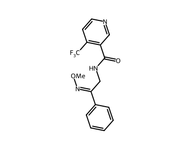 CON=C(CNC(=O)c1cnccc1C(F)(F)F)c1ccccc1